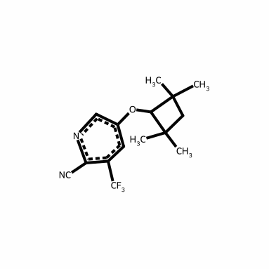 CC1(C)CC(C)(C)C1Oc1cnc(C#N)c(C(F)(F)F)c1